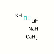 F.[CaH2].[KH].[LiH].[NaH]